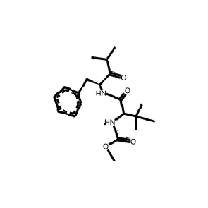 COC(=O)NC(C(=O)N[C@@H](Cc1ccccc1)C(=O)C(C)C)C(C)(C)C